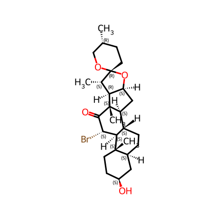 C[C@@H]1CC[C@@]2(OC1)O[C@H]1C[C@H]3[C@@H]4CC[C@H]5C[C@@H](O)CC[C@]5(C)[C@H]4[C@H](Br)C(=O)[C@]3(C)[C@H]1[C@@H]2C